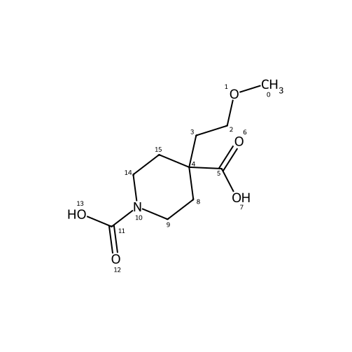 COCCC1(C(=O)O)CCN(C(=O)O)CC1